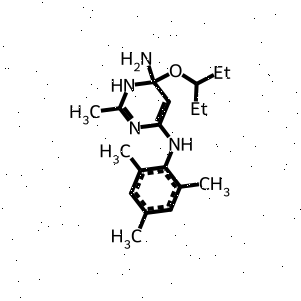 CCC(CC)OC1(N)C=C(Nc2c(C)cc(C)cc2C)N=C(C)N1